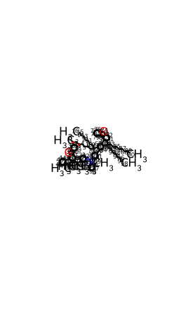 CCCCCCCCC1(CCCCCCCC)c2cc(N(c3ccc4c(c3)C(C)(C)c3c5c(c6oc7ccccc7c6c3-4)-c3ccccc3C5(C)C)c3c(C)cccc3C)ccc2-c2cc3c(cc21)-c1c(ccc2oc4ccccc4c12)C3(CCCCCCCC)CCCCCCCC